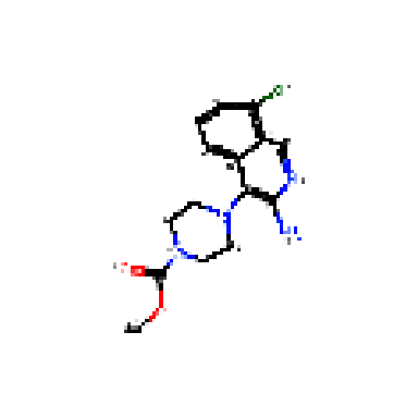 CC(C)(C)OC(=O)N1CCN(c2c(N)ncc3c(Cl)cccc23)CC1